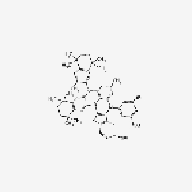 Cc1cc2c3c(c1)N(c1cc(C(C)(C)C)cc(C(C)(C)C)c1)c1c(sc4ccc(C(C)(C)C)cc14)B3c1cc3c(cc1N2c1cc2c(cc1C)C(C)(C)CCC2(C)C)C(C)(C)CCC3(C)C